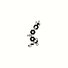 COCCN1C(=O)COc2cc(Nc3ccc(N4CCC(C(F)(F)F)CC4)cc3)ccc21